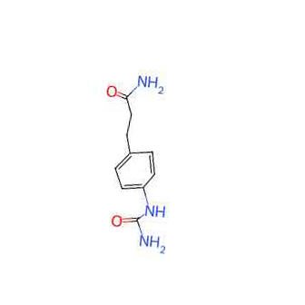 NC(=O)CCc1ccc(NC(N)=O)cc1